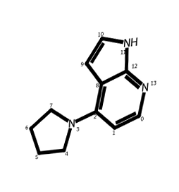 c1cc(N2CCCC2)c2cc[nH]c2n1